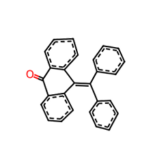 O=C1c2ccccc2C(=C(c2ccccc2)c2ccccc2)c2ccccc21